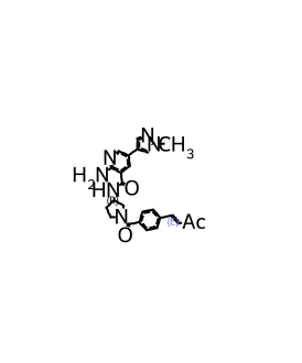 CC(=O)/C=C/c1ccc(C(=O)N2CC[C@@H](NC(=O)c3cc(-c4cnn(C)c4)cnc3N)C2)cc1